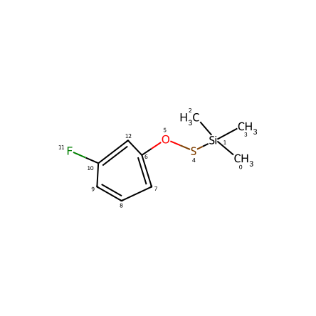 C[Si](C)(C)SOc1cccc(F)c1